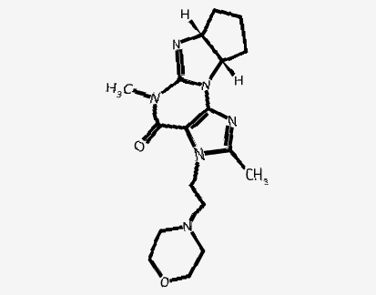 Cc1nc2c(n1CCN1CCOCC1)C(=O)N(C)C1=N[C@@H]3CCC[C@@H]3N12